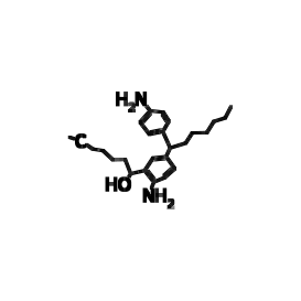 CCCCCCC(O)c1cc(C(CCCCCC)c2ccc(N)cc2)ccc1N